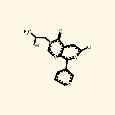 O=c1c2cc(Cl)nc(-c3cccnc3)c2ncn1CC(O)C(F)(F)F